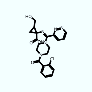 O=C(c1ccccc1Cl)N1CCN(C(=NC2(C(=O)O)CC2CO)c2cccnn2)CC1